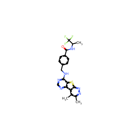 Cc1nnc2sc3c(NCc4ccc(C(=O)NC(C)C(F)(F)F)cc4)ncnc3c2c1C